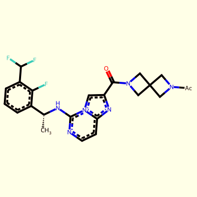 CC(=O)N1CC2(C1)CN(C(=O)c1cn3c(N[C@H](C)c4cccc(C(F)F)c4F)nccc3n1)C2